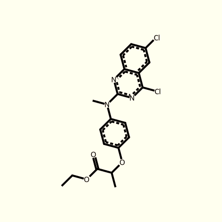 CCOC(=O)C(C)Oc1ccc(N(C)c2nc(Cl)c3cc(Cl)ccc3n2)cc1